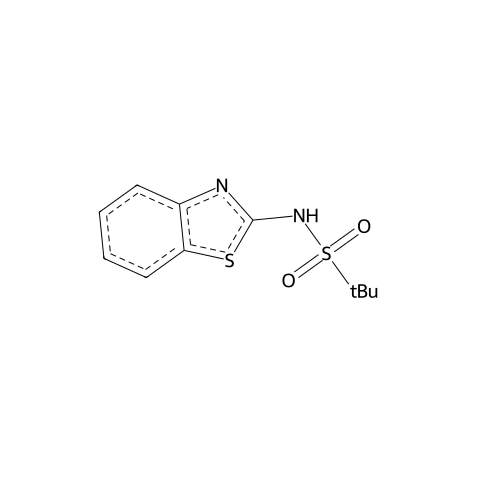 CC(C)(C)S(=O)(=O)Nc1nc2ccccc2s1